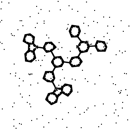 c1ccc(-c2cc(-c3cccc(-c4cc(-c5cccc(-n6c7ccccc7c7ccccc76)c5)cc(-c5cccc(-n6c7ccccc7c7ccccc76)c5)c4)c3)nc(-c3ccccc3)n2)cc1